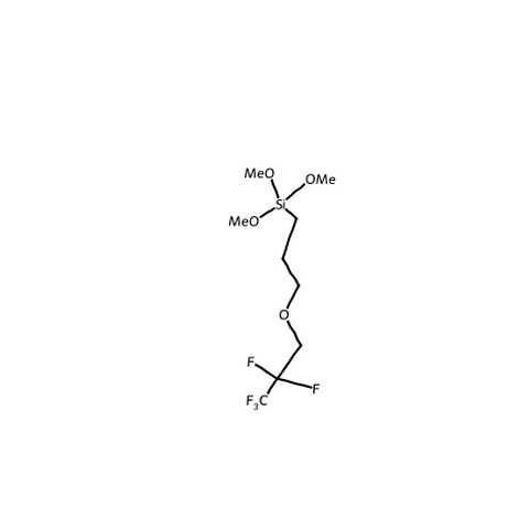 CO[Si](CCCOCC(F)(F)C(F)(F)F)(OC)OC